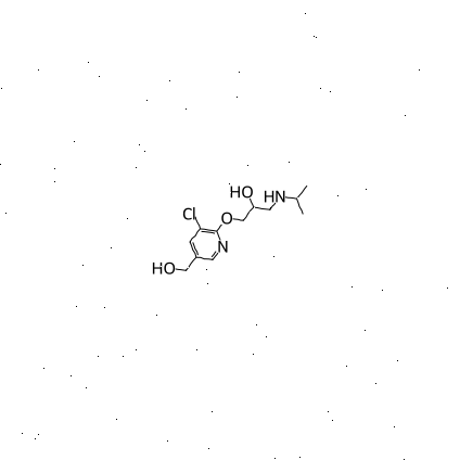 CC(C)NCC(O)COc1ncc(CO)cc1Cl